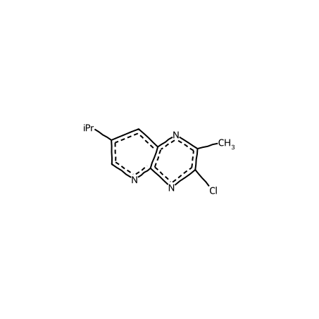 Cc1nc2cc(C(C)C)cnc2nc1Cl